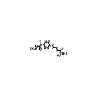 CCN(CC)C(=O)CCCC[C@H]1CC[C@H](N(C)C(=O)OC(C)(C)C)CC1